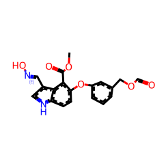 COC(=O)c1c(Oc2cccc(COC=O)c2)ccc2[nH]cc(/C=N/O)c12